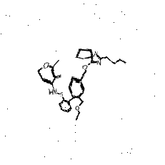 CCCCC1=NC2(CCCC2)C(OCc2ccc(-c3ccccc3SNC3=CCOC(C)=C3C)c(COCC)c2)=N1